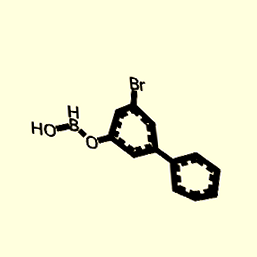 OBOc1cc(Br)cc(-c2ccccc2)c1